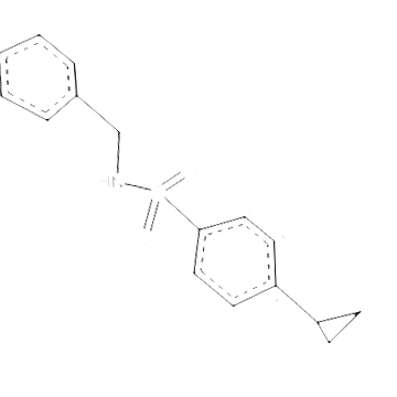 O=S(=O)(NCc1ccccc1)c1ccc(C2CC2)cc1